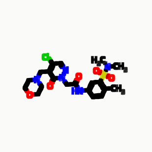 Cc1ccc(NC(=O)Cn2ncc(Cl)c(CN3CCOCC3)c2=O)cc1S(=O)(=O)N(C)C